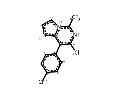 FC(F)(F)c1nc(Cl)c(-c2ccc(Cl)cc2)c2nccn12